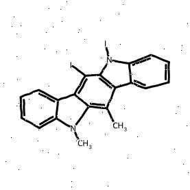 Cc1c2c3ccccc3n(I)c2c(I)c2c3ccccc3n(C)c12